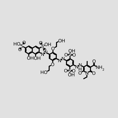 CCn1c(O)c(/N=N/c2cc(S(=O)(=O)O)c(/N=N/c3cc(OCCO)c(/N=N/c4c(S(=O)(=O)O)cc5cc(S(=O)(=O)O)cc(O)c5c4O)cc3OCCO)cc2S(=O)(=O)O)c(C)c(C(N)=O)c1=O